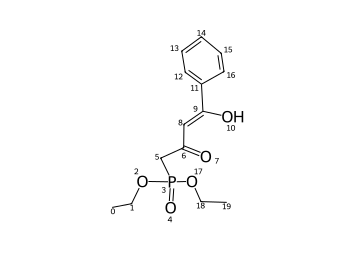 CCOP(=O)(CC(=O)C=C(O)c1ccccc1)OCC